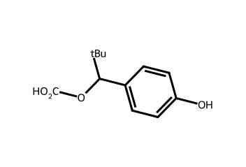 CC(C)(C)C(OC(=O)O)c1ccc(O)cc1